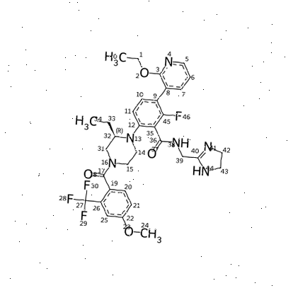 CCOc1ncccc1-c1ccc(N2CCN(C(=O)c3ccc(OC)cc3C(F)(F)F)C[C@H]2CC)c(C(=O)NCC2=NCCN2)c1F